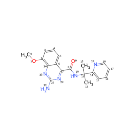 COc1cccc2c(C(=O)NC(C)(C)c3ccccn3)nc(N)nc12